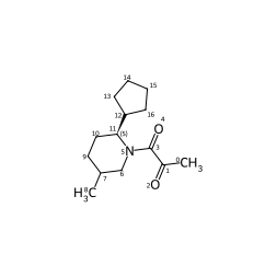 CC(=O)C(=O)N1CC(C)CC[C@H]1C1CCCC1